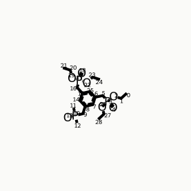 CCOP(=O)(Cc1cc(CP(C)(C)=O)cc(CP(=O)(OCC)OCC)c1)OCC